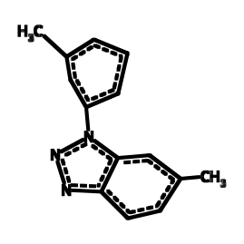 Cc1cccc(-n2nnc3ccc(C)cc32)c1